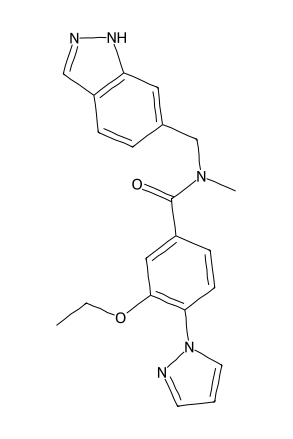 CCOc1cc(C(=O)N(C)Cc2ccc3cn[nH]c3c2)ccc1-n1cccn1